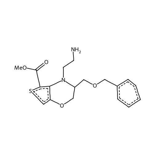 COC(=O)c1scc2c1N(CCN)C(COCc1ccccc1)CO2